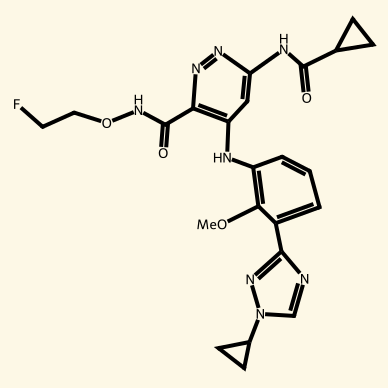 COc1c(Nc2cc(NC(=O)C3CC3)nnc2C(=O)NOCCF)cccc1-c1ncn(C2CC2)n1